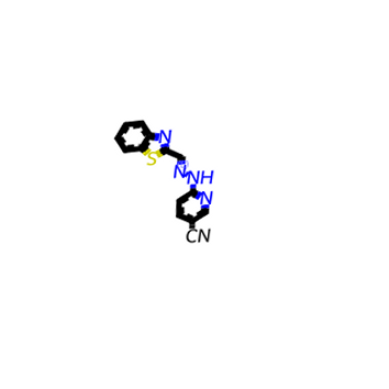 N#Cc1ccc(N/N=C/c2nc3ccccc3s2)nc1